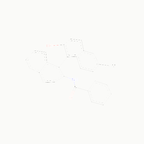 COc1ccc2c(-c3c(NC(=O)c4ccccc4)ccc4ccccc34)c(O)ccc2c1